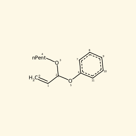 C=C[C](OCCCCC)Oc1ccccc1